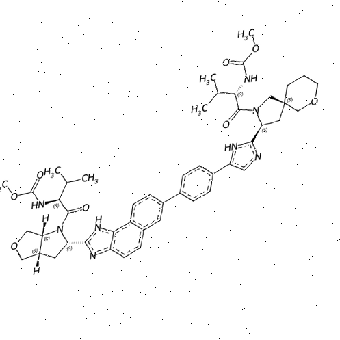 COC(=O)N[C@H](C(=O)N1C[C@]2(CCCOC2)C[C@H]1c1ncc(-c2ccc(-c3ccc4c(ccc5nc([C@@H]6C[C@@H]7COC[C@@H]7N6C(=O)[C@@H](NC(=O)OC)C(C)C)[nH]c54)c3)cc2)[nH]1)C(C)C